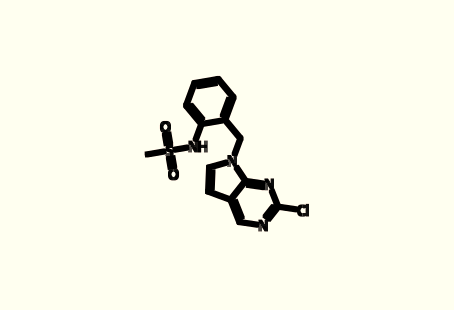 CS(=O)(=O)Nc1ccccc1Cn1ccc2cnc(Cl)nc21